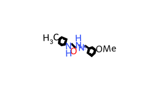 COc1cccc(/C=N/NC(=O)CNc2ccc(C)cc2)c1